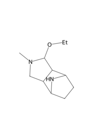 CCOC1C2C3CCC(N3)C2CN1C